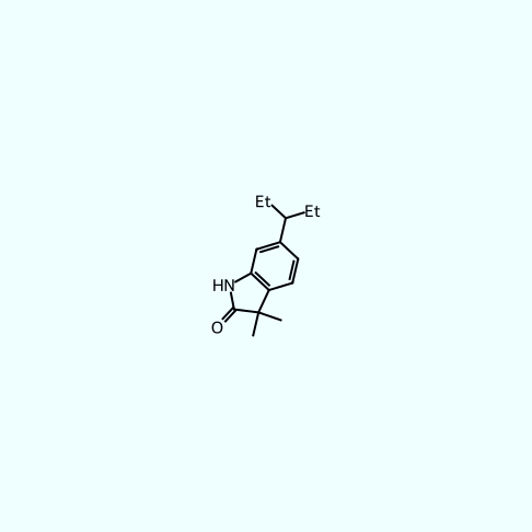 CCC(CC)c1ccc2c(c1)NC(=O)C2(C)C